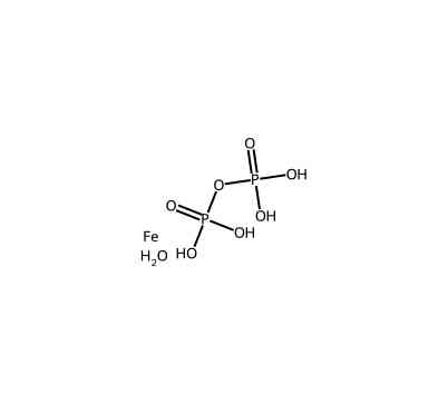 O.O=P(O)(O)OP(=O)(O)O.[Fe]